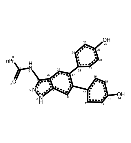 CCCC(=O)Nc1n[nH]c2cc(-c3ccc(O)cc3)c(-c3ccc(O)cc3)cc12